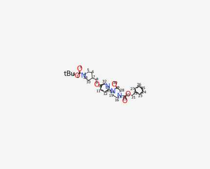 CC(C)(C)OC(=O)N1CCC(COc2ccc(N3CCN(C(=O)OCc4ccccc4)CC3=O)nc2)CC1